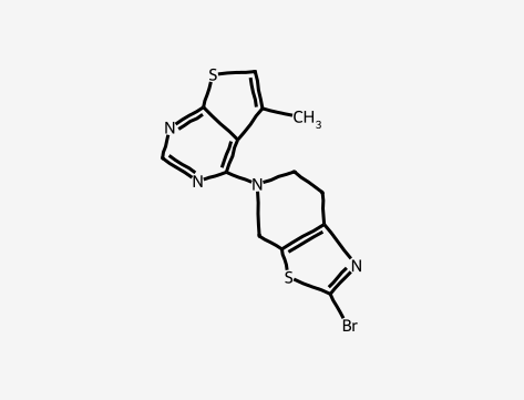 Cc1csc2ncnc(N3CCc4nc(Br)sc4C3)c12